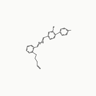 C=CCCCc1ccccc1C=NN=Cc1ccc(-c2ccc(C)cc2)c(F)c1